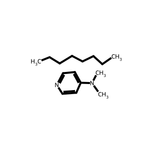 CCCCCCCC.CN(C)c1ccncc1